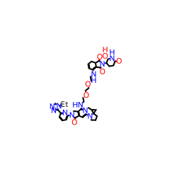 CCn1cnnc1-c1cccc(N2Cc3c(cc(N4CCCC45CC5C)nc3NCCOCCOCCNC3=C4C(=O)N(C5CCC(=O)NC5O)C(=O)C4CC=C3)C2=O)n1